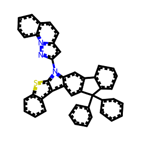 c1ccc(C2(c3ccccc3)c3ccccc3-c3cc4c(cc32)c2c3ccccc3sc2n4-c2cc3ccc4ccccc4n3n2)cc1